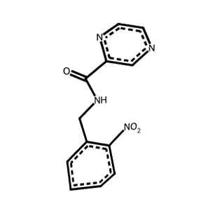 O=C(NCc1ccccc1[N+](=O)[O-])c1cnccn1